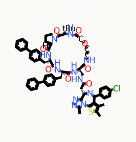 Cc1sc2c(c1C)C(c1ccc(Cl)cc1)=N[C@@H](CC(=O)NC[C@H]1NC(=O)[C@@H](Cc3ccc(-c4ccccc4)cc3)NC(=O)[C@@H](Cc3ccc(-c4ccccc4)cc3)NC(=O)[C@@H]3CCCN3C(=O)C(C(C)(C)C)NC(=O)COCCNC1=O)c1nnc(C)n1-2